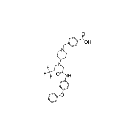 O=C(CN(CCC(F)(F)F)C1CCN(Cc2ccc(C(=O)O)cc2)CC1)Nc1ccc(Oc2ccccc2)cc1